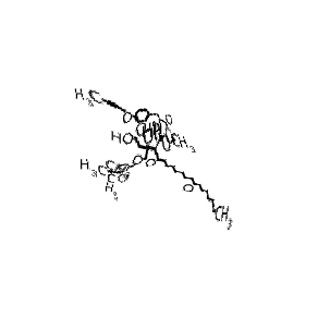 CC#CCOc1ccc(C[C@H](NC(=O)[C@@H](/C=C/CCCCCCC(=O)CCCCCCC)[C@@](O)(CC(=O)O)C(=O)OCOC(=O)C(C)(C)C)C(=O)OC)cc1